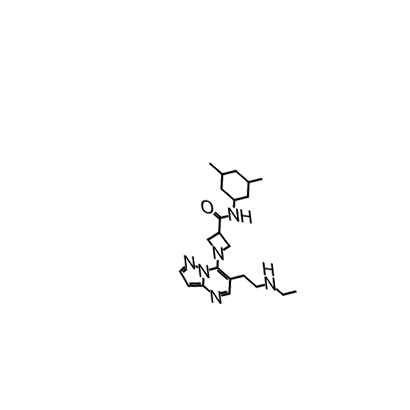 CCNCCc1cnc2ccnn2c1N1CC(C(=O)NC2CC(C)CC(C)C2)C1